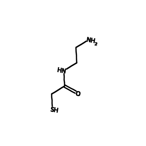 NCCNC(=O)CS